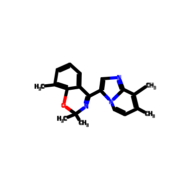 Cc1cccc2c1OC(C)(C)N=C2c1cnc2c(C)c(C)ccn12